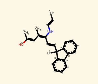 CCC1(/C=C/C(N/C=C/C(C)C)=C(C)\C=C(/C)O)c2ccccc2-c2ccccc21